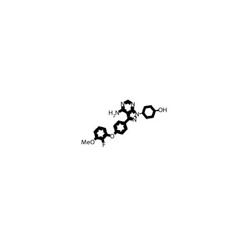 COc1cccc(Oc2ccc(-c3nn([C@H]4CC[C@H](O)CC4)c4ncnc(N)c34)cc2)c1F